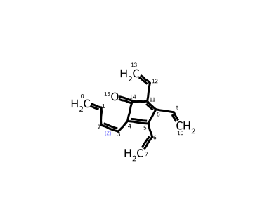 C=C/C=C\C1=C(C=C)C(C=C)=C(C=C)C1=O